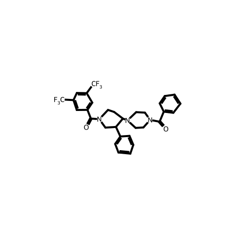 O=C(c1ccccc1)N1CCN(C2CCN(C(=O)c3cc(C(F)(F)F)cc(C(F)(F)F)c3)CC2c2ccccc2)CC1